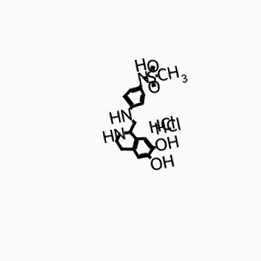 CS(=O)(=O)Nc1ccc(NCC2NCCc3cc(O)c(O)cc32)cc1.Cl.Cl